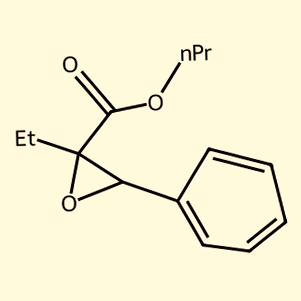 CCCOC(=O)C1(CC)OC1c1ccccc1